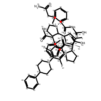 CC1CC(C2CCCN2[C@@]2(C(=O)NC(=O)O)c3ccc(cc3)C2(C)CC(N)=O)N(c2cc(F)c(N3CCC(c4ccccc4)CC3)c(F)c2)[C@]1(C)C1CCCN1[C@@]1(C(=O)NC(=O)O)c2ccc(cc2)C1(C)CC(N)=O